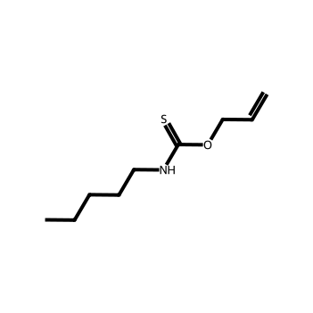 C=CCOC(=S)NCCCCC